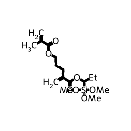 C=C(C)C(=O)OCCCC(=C)C(=O)OC(CC)[Si](OC)(OC)OC